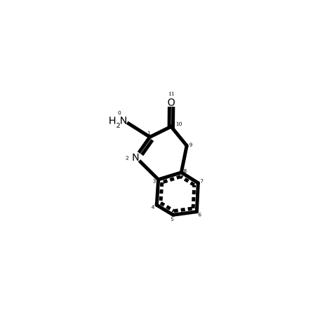 NC1=Nc2ccccc2CC1=O